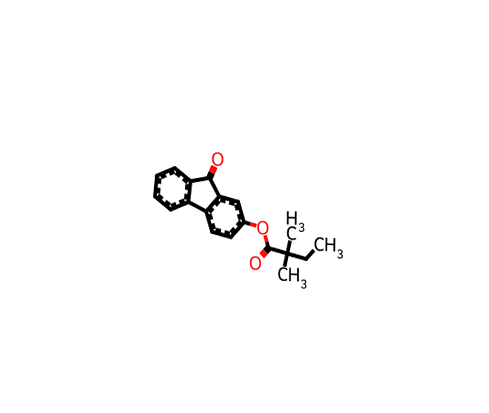 CCC(C)(C)C(=O)Oc1ccc2c(c1)C(=O)c1ccccc1-2